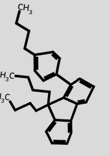 CCCCc1ccc(-c2[c]ccc3c2C(CCCC)(CCCC)c2ccccc2-3)cc1